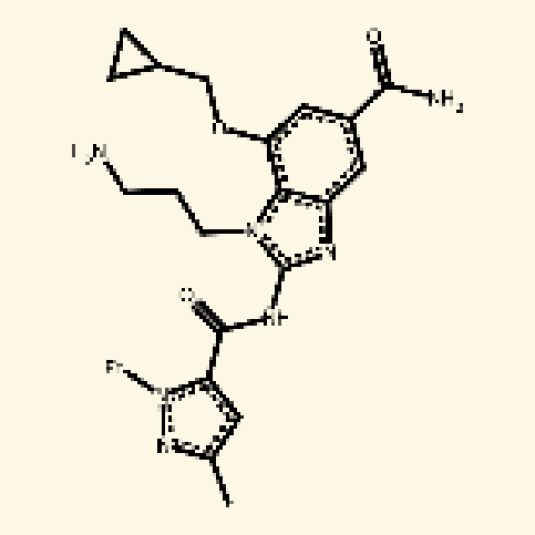 CCn1nc(C)cc1C(=O)Nc1nc2cc(C(N)=O)cc(OCC3CC3)c2n1CCCN